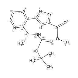 COC(=O)c1cnc(-c2nccnc2[C@@H](C)NC(=O)OC(C)(C)C)s1